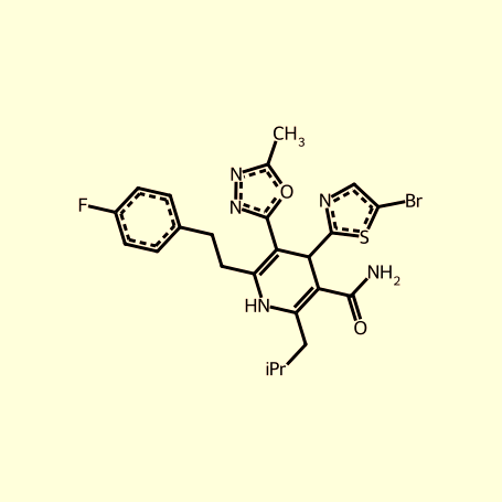 Cc1nnc(C2=C(CCc3ccc(F)cc3)NC(CC(C)C)=C(C(N)=O)C2c2ncc(Br)s2)o1